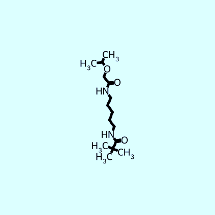 CC(C)OCC(=O)NCCCCCNC(=O)C(C)(C)C